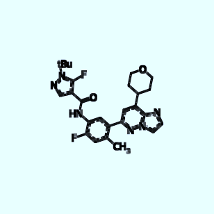 Cc1cc(F)c(NC(=O)c2cnn(C(C)(C)C)c2F)cc1-c1cc(C2CCOCC2)c2nccn2n1